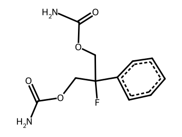 NC(=O)OCC(F)(COC(N)=O)c1ccccc1